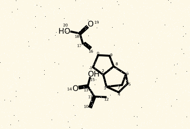 C1CC2C3CCC(C3)C2C1.C=C(C)C(=O)O.C=CC(=O)O